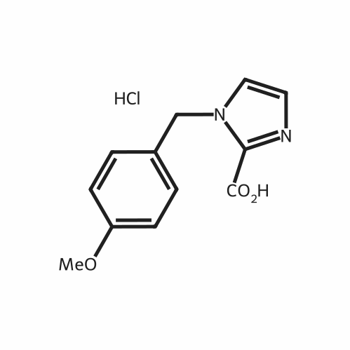 COc1ccc(Cn2ccnc2C(=O)O)cc1.Cl